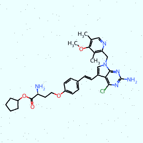 COc1c(C)cnc(Cn2cc(C=Cc3ccc(OCC[C@H](N)C(=O)OC4CCCC4)cc3)c3c(Cl)nc(N)nc32)c1C